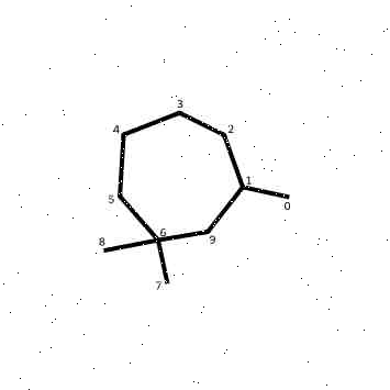 C[C]1CCCCC(C)(C)C1